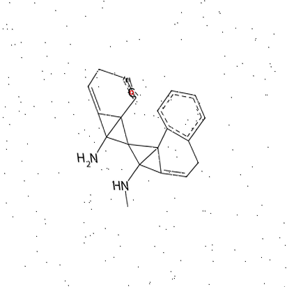 CNC12C3=CCc4ccccc4C31C21C2(N)C3=CCc4ccccc4C321